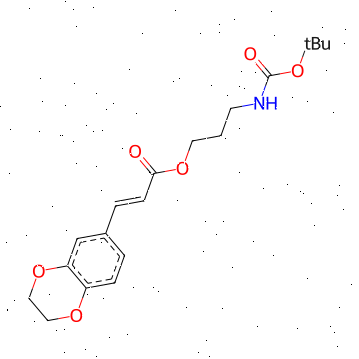 CC(C)(C)OC(=O)NCCCOC(=O)/C=C/c1ccc2c(c1)OCCO2